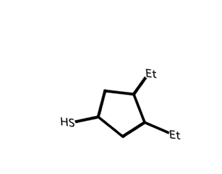 CCC1CC(S)CC1CC